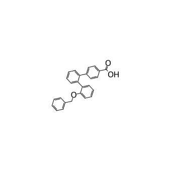 O=C(O)c1ccc(-c2ccccc2-c2ccccc2OCc2ccccc2)cc1